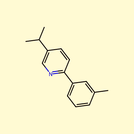 Cc1cccc(-c2ccc(C(C)C)cn2)c1